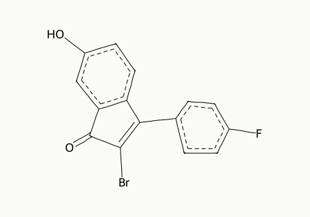 O=C1C(Br)=C(c2ccc(F)cc2)c2ccc(O)cc21